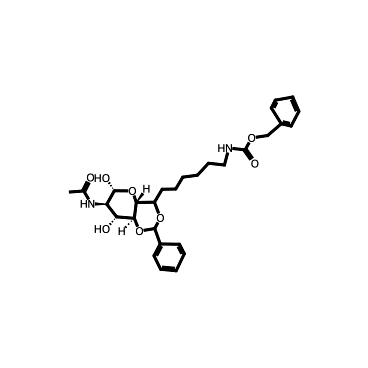 CC(=O)N[C@@H]1[C@@H](O)[C@@H]2OC(c3ccccc3)OC(CCCCCCNC(=O)OCc3ccccc3)[C@H]2O[C@H]1O